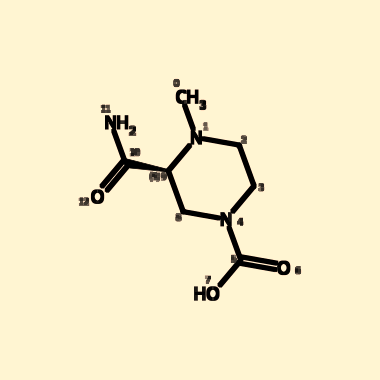 CN1CCN(C(=O)O)C[C@H]1C(N)=O